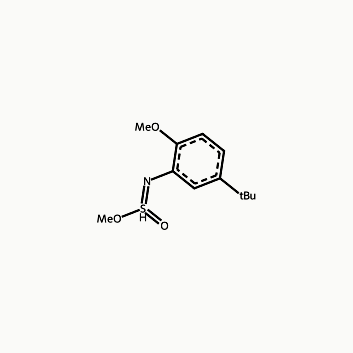 COc1ccc(C(C)(C)C)cc1N=[SH](=O)OC